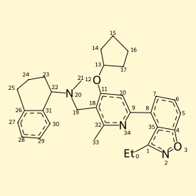 CCc1noc2cccc(-c3cc(OC4CCCC4)c(CN(C)C4CCCc5ccccc54)c(C)n3)c12